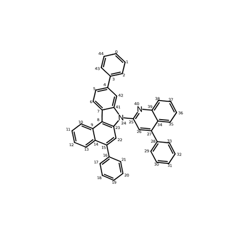 c1ccc(-c2ccc3c4c5ccccc5c(-c5ccccc5)cc4n(-c4cc(-c5ccccc5)c5ccccc5n4)c3c2)cc1